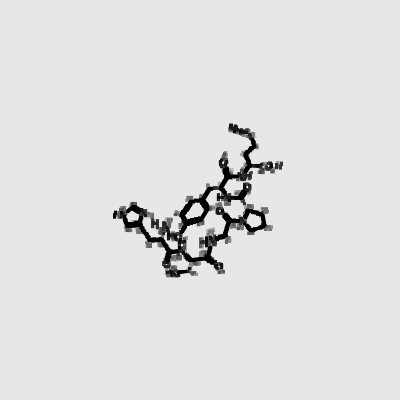 CSCC[C@H](NC(=O)[C@H](Cc1ccc(O)cc1)NC(=O)[C@@H]1CCCN1C(=O)CNC(=O)[C@H](CO)NC(=O)[C@@H](N)Cc1c[nH]cn1)C(=O)O